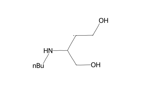 CCCCNC([CH]CO)CO